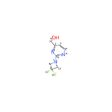 OCc1ccnc(N2CC(F)(F)C2)n1